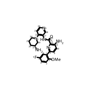 COc1ccc(F)cc1-c1ccc(N)c(C(=O)Nc2cnccc2N2CCC[C@H](N)C2)n1